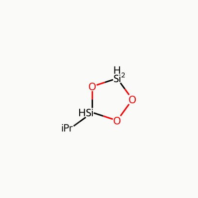 CC(C)[SiH]1OO[SiH2]O1